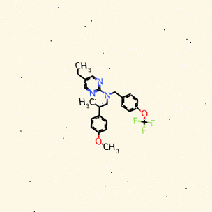 CCc1cnc(N(Cc2ccc(OC(F)(F)F)cc2)CC(C)c2ccc(OC)cc2)nc1